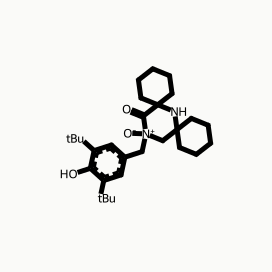 CC(C)(C)c1cc(C[N+]2([O-])CC3(CCCCC3)NC3(CCCCC3)C2=O)cc(C(C)(C)C)c1O